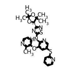 Cc1ncccc1Oc1cc(Sc2ccccn2)cnc1Nc1nc([C@@H]2OC(C)(C)OC2(C)C)ns1